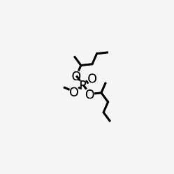 CCCC(C)OP(=O)(OC)OC(C)CCC